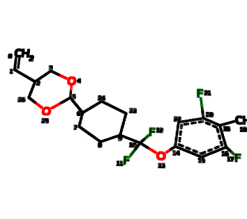 C=CC1COC(C2CCC(C(F)(F)Oc3cc(F)c(C)c(F)c3)CC2)OC1